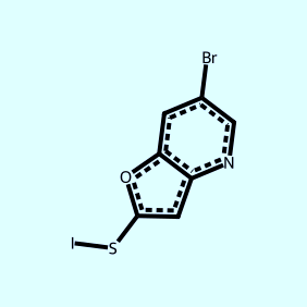 Brc1cnc2cc(SI)oc2c1